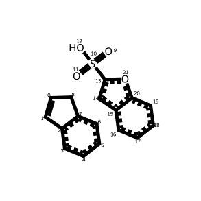 C1=Cc2ccccc2C1.O=S(=O)(O)c1cc2ccccc2o1